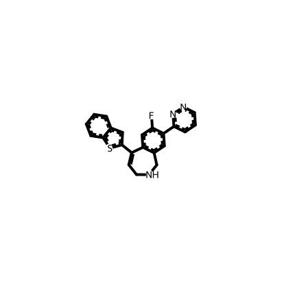 Fc1cc2c(cc1-c1cccnn1)CNCC=C2c1cc2ccccc2s1